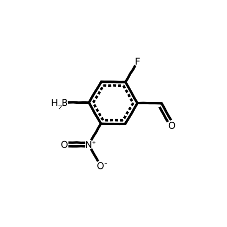 Bc1cc(F)c(C=O)cc1[N+](=O)[O-]